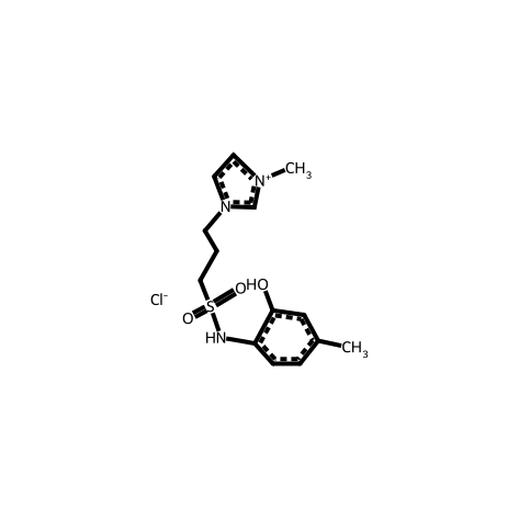 Cc1ccc(NS(=O)(=O)CCCn2cc[n+](C)c2)c(O)c1.[Cl-]